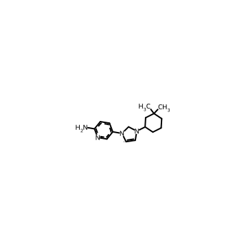 CC1(C)CCCC(N2C=[C]N(c3ccc(N)nc3)C2)C1